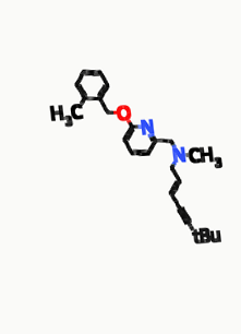 Cc1ccccc1COc1cccc(CN(C)CC=CC#CC(C)(C)C)n1